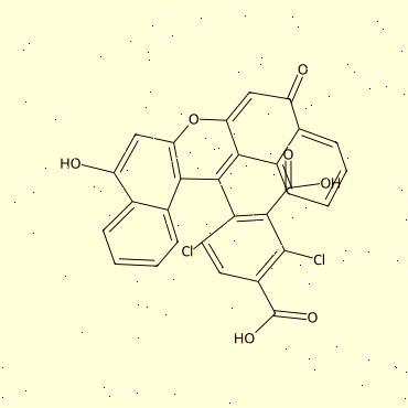 O=C(O)c1cc(Cl)c(-c2c3c4ccccc4c(=O)cc-3oc3cc(O)c4ccccc4c23)c(C(=O)O)c1Cl